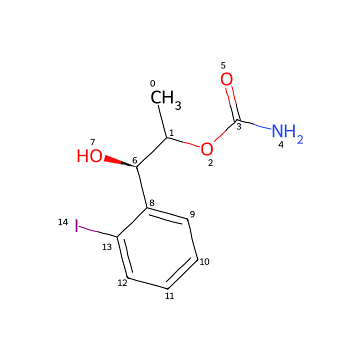 CC(OC(N)=O)[C@H](O)c1ccccc1I